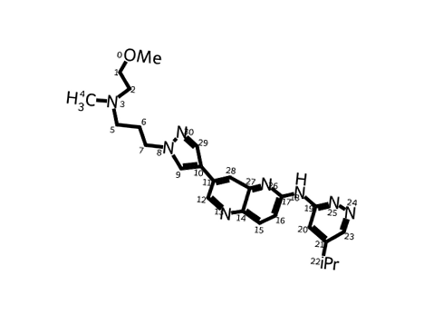 COCCN(C)CCCn1cc(-c2cnc3ccc(Nc4cc(C(C)C)cnn4)nc3c2)cn1